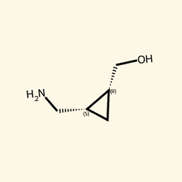 NC[C@H]1C[C@H]1CO